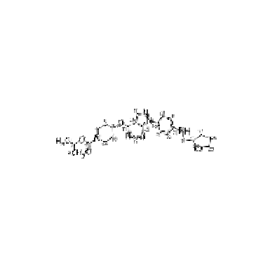 CC(C)OC(=O)N1CCC(Oc2ncnc3c2cnn3-c2ccc(NCC3CCCO3)cc2)CC1